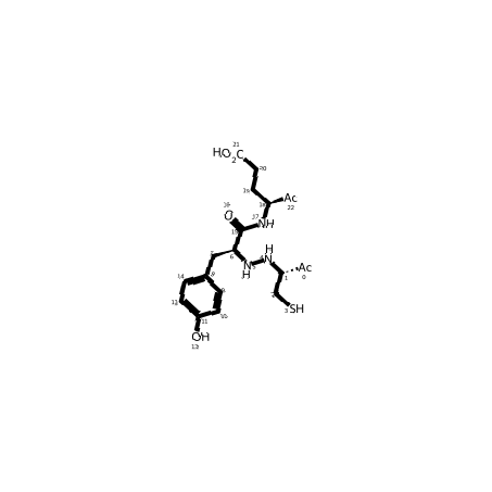 CC(=O)[C@H](CS)NN[C@@H](Cc1ccc(O)cc1)C(=O)N[C@@H](CCC(=O)O)C(C)=O